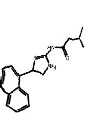 CC(C)CC(=O)NC1=NC(c2cccc3ccccc23)CN1